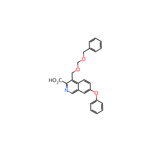 O=C(O)c1ncc2cc(Oc3ccccc3)ccc2c1COCOCc1ccccc1